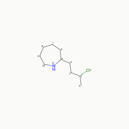 CC(Cl)CCC1CCCCCN1